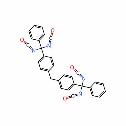 O=C=NC(N=C=O)(c1ccccc1)c1ccc(Cc2ccc(C(N=C=O)(N=C=O)c3ccccc3)cc2)cc1